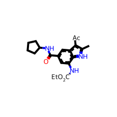 CCOC(=O)Nc1cc(C(=O)NC2CCCC2)cc2c(C(C)=O)c(C)[nH]c12